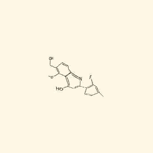 COc1c(CO)ccc2nc(-c3ccc(C)cc3F)cc(O)c12